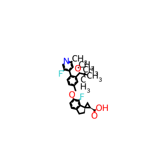 CO[C@@H](c1cc(COc2ccc3c(c2F)[C@]2(CC3)C[C@H]2C(=O)O)ccc1-c1cc(C)ncc1F)C(C)(C)C